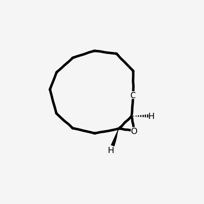 C1CCCCC[C@H]2O[C@@H]2CCCC1